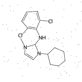 CN1C=CN(C2CCCCC2)C1Nc1c(Cl)cccc1Cl